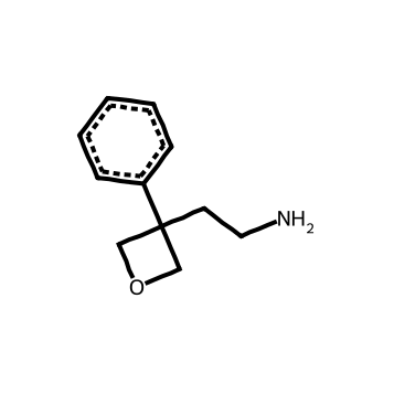 NCCC1(c2ccccc2)COC1